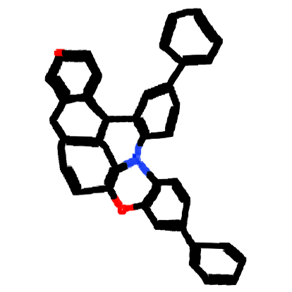 c1ccc(-c2ccc3c(c2)Oc2ccc4c5c2N3c2ccc(-c3ccccc3)cc2C52c3ccccc3C4c3ccccc32)cc1